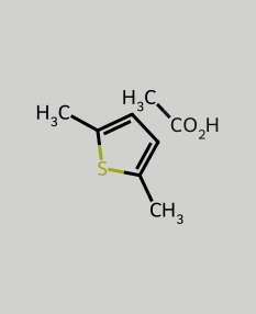 CC(=O)O.Cc1ccc(C)s1